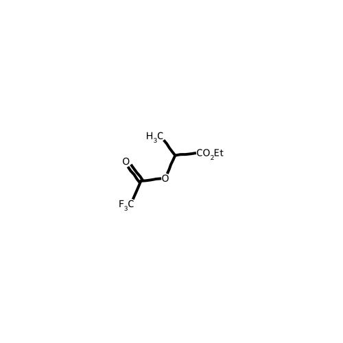 CCOC(=O)C(C)OC(=O)C(F)(F)F